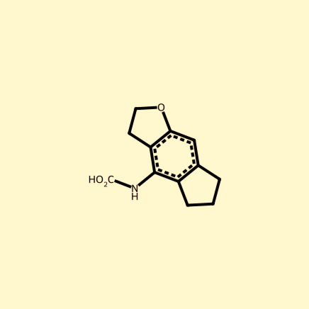 O=C(O)Nc1c2c(cc3c1CCO3)CCC2